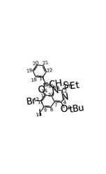 CCSc1nc(OC(C)(C)C)c2cc(I)c(Br)c(O[C@@H](C)c3ccccc3)c2n1